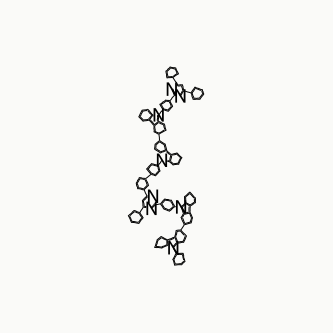 c1ccc(-c2cc(-c3ccccc3)nc(-c3ccc(-n4c5ccccc5c5cc(-c6ccc7c(c6)c6ccccc6n7-c6ccc(-c7cccc(-c8cc(-c9ccccc9)nc(-c9ccc(-n%10c%11ccccc%11c%11ccc(-c%12ccc%13c(c%12)c%12ccccc%12n%13-c%12ccccc%12)cc%11%10)cc9)n8)c7)cc6)ccc54)cc3)n2)cc1